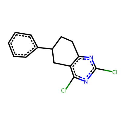 Clc1nc(Cl)c2c(n1)CCC(c1ccccc1)C2